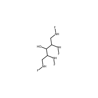 OC(C(CNF)NF)C(CNF)NF